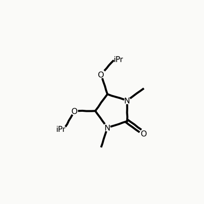 CC(C)OC1C(OC(C)C)N(C)C(=O)N1C